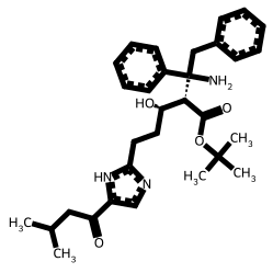 CC(C)CC(=O)c1cnc(CC[C@H](O)[C@@H](C(=O)OC(C)(C)C)C(N)(Cc2ccccc2)c2ccccc2)[nH]1